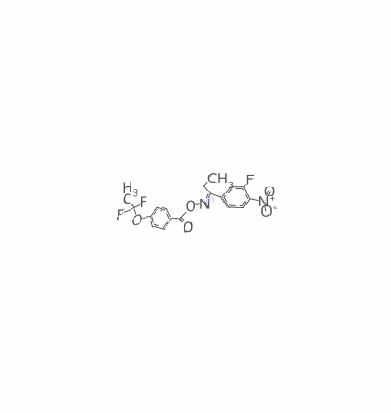 CC/C(=N\OC(=O)c1ccc(OC(C)(F)F)cc1)c1ccc([N+](=O)[O-])c(F)c1